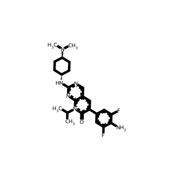 CC(C)n1c(=O)c(-c2cc(F)c(N)c(F)c2)cc2cnc(N[C@H]3CC[C@H](N(C)C)CC3)nc21